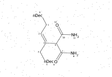 CCCCCCCCCCCC=C(CCCCCCCCCCC)C(C(N)=O)C(N)=O